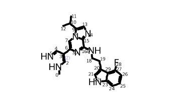 CN/C=C(\C=N)c1cn2c(C(C)C)cnc2c(NCCc2c[nH]c3cccc(F)c23)n1